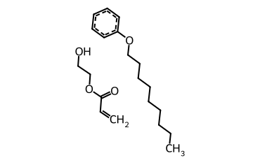 C=CC(=O)OCCO.CCCCCCCCCOc1ccccc1